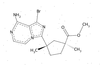 COC(=O)[C@@]1(C)CC[C@](C)(c2nc(Br)c3c(N)nccn23)C1